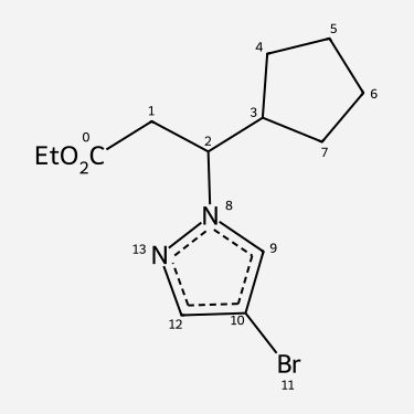 CCOC(=O)CC(C1CCCC1)n1cc(Br)cn1